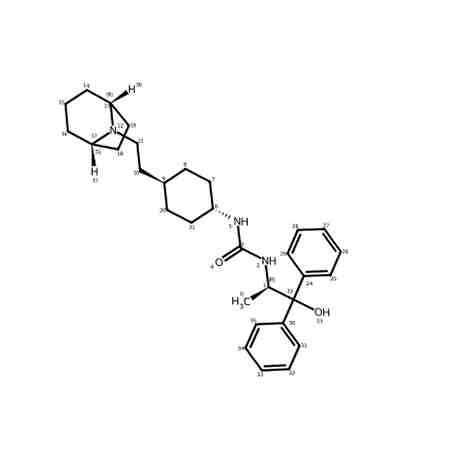 C[C@@H](NC(=O)N[C@H]1CC[C@H](CCN2[C@@H]3CCC[C@H]2CC3)CC1)C(O)(c1ccccc1)c1ccccc1